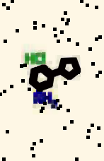 Cl.Nc1cccc(C2CCCC2)c1